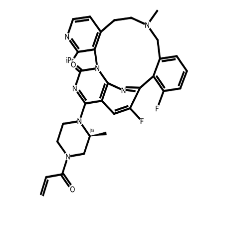 C=CC(=O)N1CCN(c2nc(=O)n3c4nc(c(F)cc24)-c2c(F)cccc2CN(C)CCc2ccnc(C(C)C)c2-3)[C@@H](C)C1